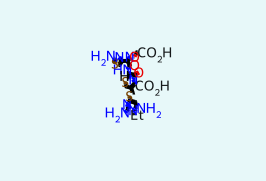 CCN1C(N)=NC(SCC2=C(C(=O)O)N3C(=O)[C@@H](NC(=O)/C(=N\OCC(=O)O)c4csc(N)n4)[C@H]3SC2)=CC1N